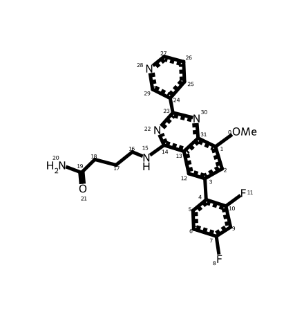 COc1cc(-c2ccc(F)cc2F)cc2c(NCCCC(N)=O)nc(-c3cccnc3)nc12